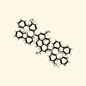 CC(C)c1cc(N(c2ccc(C(F)(F)F)c(-c3ccccc3)c2)c2cccc3c2oc2ccccc23)c2ccc3c(C(C)C)cc(N(c4ccc(C(F)(F)F)c(-c5ccccc5)c4)c4cccc5c4oc4ccccc45)c4ccc1c2c34